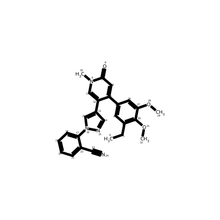 CCc1cc(-c2cc(=O)n(C)cc2-c2cnn(-c3ccccc3C#N)c2)cc(OC)c1OC